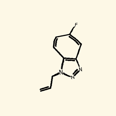 C=CCn1nnc2cc(F)ccc21